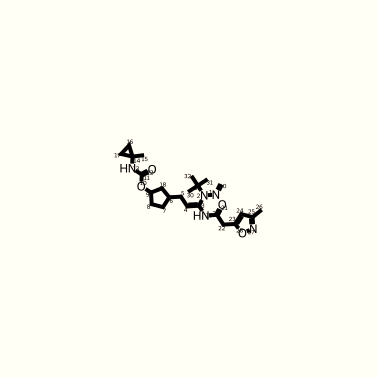 C=NN(/C(=C\CC1CCC(OC(=O)NC2(C)CC2)C1)NC(=O)Cc1cc(C)no1)C(C)(C)C